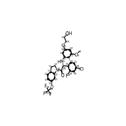 COc1cc(N[C@@H](C(=O)N2CCc3ccc(OC(F)(F)F)cc32)c2ccc(Cl)cc2F)cc(OCCO)c1